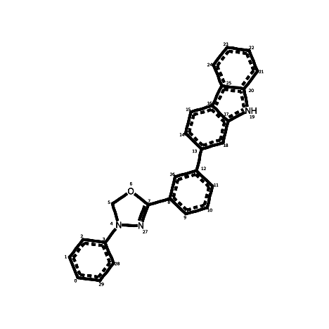 c1ccc(N2COC(c3cccc(-c4ccc5c(c4)[nH]c4ccccc45)c3)=N2)cc1